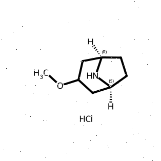 COC1C[C@H]2CC[C@@H](C1)N2.Cl